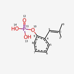 CC(C)=Cc1ccccc1OP(=O)(O)O